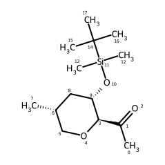 CC(=O)[C@H]1OC[C@H](C)C[C@@H]1O[Si](C)(C)C(C)(C)C